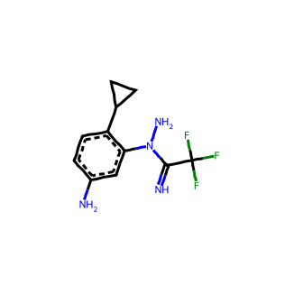 N=C(N(N)c1cc(N)ccc1C1CC1)C(F)(F)F